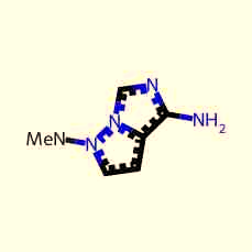 CNn1ccc2c(N)ncn21